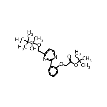 CC(C)(C)OC(=O)COc1ccccc1-c1nccc(CO[Si](C)(C)C(C)(C)C)n1